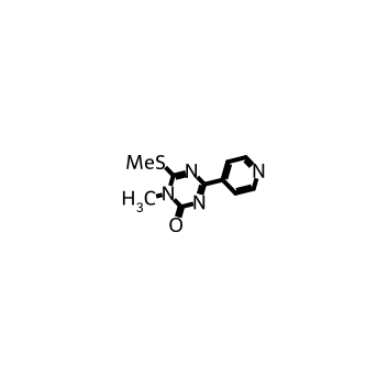 CSc1nc(-c2ccncc2)nc(=O)n1C